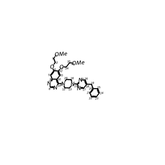 COCCOc1cc2ncnc(N3CCN(c4ncc(Cc5ccccc5)cn4)CC3)c2cc1OCCOC